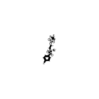 O=S(=O)(c1ccc(I)cc1)[NH+]([O-])CCOS(=O)(=O)C(F)(F)F